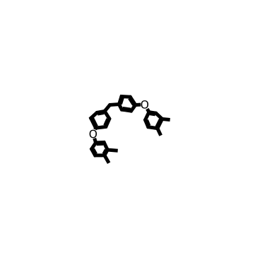 Cc1ccc(Oc2ccc(Cc3ccc(Oc4ccc(C)c(C)c4)cc3)cc2)cc1C